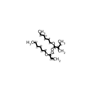 C=C(CC)C(=O)OCCCCCC.C=CC(=O)OCCCCCC